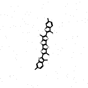 Cc1ccc2c(I)c(-c3sc4c(oc5c4oc4c(I)c(-c6sc7cc(C)ccc7c6I)sc45)c3I)sc2c1